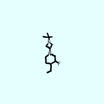 CCC1CCN(C2CN(C(C)(C)C)C2)CC1F